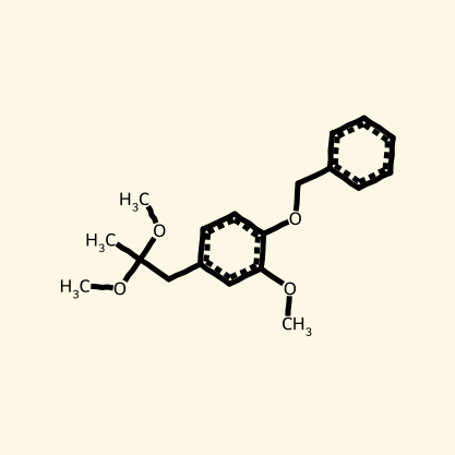 COc1cc(CC(C)(OC)OC)ccc1OCc1ccccc1